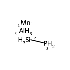 [AlH3].[Mn].[SiH3]P